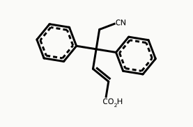 N#CCC(C=CC(=O)O)(c1ccccc1)c1ccccc1